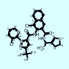 CC(NC(=O)c1cc2ccccc2c(Cl)c1NC(=O)c1cc(C(F)(F)F)nn1-c1ncccc1Cl)C1=CSCC1